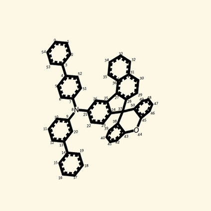 c1ccc(-c2ccc(N(c3cccc(-c4ccccc4)c3)c3ccc4c(c3)-c3c(ccc5ccccc35)C43c4ccccc4Oc4ccccc43)cc2)cc1